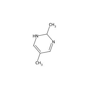 CC1=CNC(C)N=C1